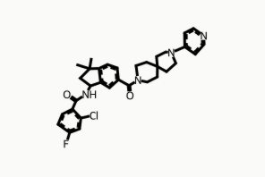 CC1(C)CC(NC(=O)c2ccc(F)cc2Cl)c2cc(C(=O)N3CCC4(CC3)CCN(c3ccncc3)CC4)ccc21